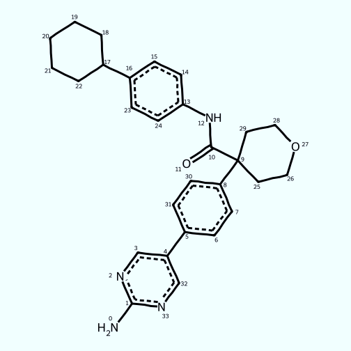 Nc1ncc(-c2ccc(C3(C(=O)Nc4ccc(C5CCCCC5)cc4)CCOCC3)cc2)cn1